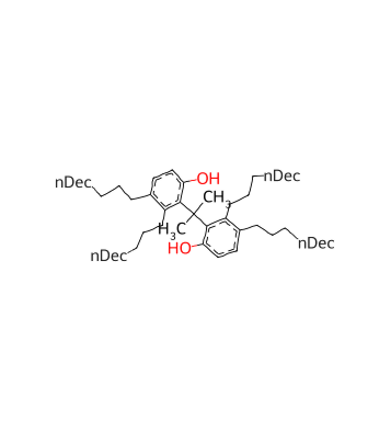 CCCCCCCCCCCCCc1ccc(O)c(C(C)(C)c2c(O)ccc(CCCCCCCCCCCCC)c2CCCCCCCCCCCCC)c1CCCCCCCCCCCCC